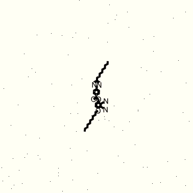 CCCCCCCCCCOc1ccc(OC(=O)c2ccc(-c3ncc(CCCCCCCCC)cn3)cc2)c(C#N)c1C#N